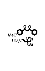 CC(C)(C)C1(C=CC(=O)O)C=NC=N1.COc1ccc(C(=O)CC(=O)c2ccccc2)cc1